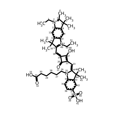 CC[N+]1=C(C)C(C)(C)c2cc3c(cc21)C(C)(C)C(C=C1C(=O)C(C=C2N(CCCCCC(=O)O)c4ccc(S(=O)(=O)O)cc4C2(C)C)=C1O)=[N+]3CC